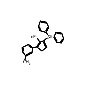 CCCC1=C(c2cccc(C)c2)CC=C1[SiH](c1ccccc1)c1ccccc1